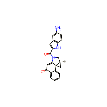 Nc1ccc2[nH]c(C(=O)N3C[C@H]4CC45C3=CC(=O)c3ccccc35)cc2c1